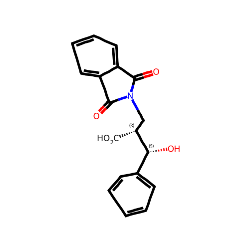 O=C(O)[C@H](CN1C(=O)c2ccccc2C1=O)[C@H](O)c1ccccc1